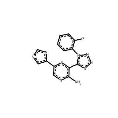 Nc1ncc(-c2cscn2)nc1-c1nnnn1-c1ccccc1F